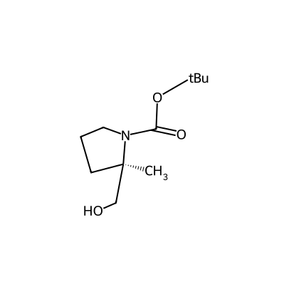 CC(C)(C)OC(=O)N1CCC[C@]1(C)CO